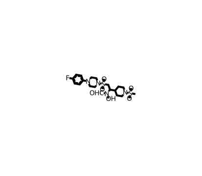 CS(=O)(=O)N1CCC(C(CS(=O)(=O)N2CCN(c3ccc(F)cc3)CC2)N(O)C=O)CC1